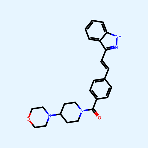 O=C(c1ccc(/C=C/c2n[nH]c3ccccc23)cc1)N1CCC(N2CCOCC2)CC1